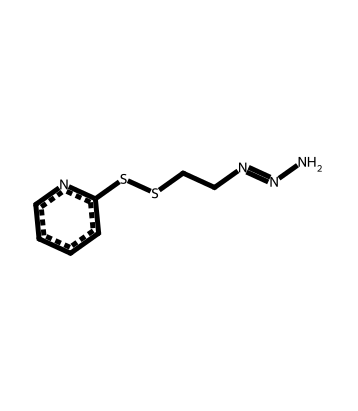 NN=NCCSSc1ccccn1